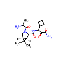 CC(C)(C)[C@H](N)C(=O)N1C[C@H]2[C@@H]([C@H]1C(=O)NC(C(=O)C(N)=O)C1CCC1)C2(C)C